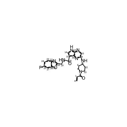 C=CC(=O)N1CCC(Nc2cnc3[nH]cc(C(=O)NCc4nc5ccc(F)cc5o4)c3n2)CC1